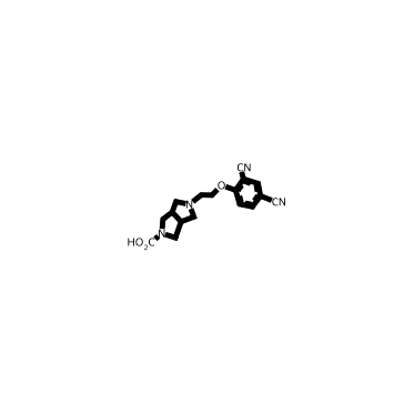 N#Cc1ccc(OCCN2CC3CN(C(=O)O)CC3C2)c(C#N)c1